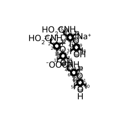 N[C@@H](Cc1cc(I)c(Oc2cc(I)c(O)c(I)c2)c(I)c1)C(=O)O.N[C@@H](Cc1cc(I)c(Oc2cc(I)c(O)c(I)c2)c(I)c1)C(=O)O.N[C@@H](Cc1cc(I)c(Oc2cc(I)c(O)c(I)c2)c(I)c1)C(=O)[O-].[Na+]